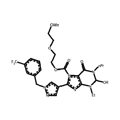 CCCN1C(=O)c2c(nc(-c3cnn(Cc4cccc(C(F)(F)F)c4)c3)n2C(=O)OCCOCCOC)N(CC)C1O